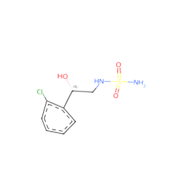 NS(=O)(=O)NC[C@@H](O)c1ccccc1Cl